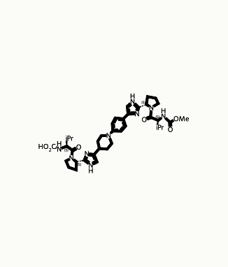 COC(=O)N[C@H](C(=O)N1CCC[C@H]1c1nc(-c2ccc(N3CCC(c4c[nH]c([C@@H]5CCCN5C(=O)[C@@H](NC(=O)O)C(C)C)n4)CC3)cc2)c[nH]1)C(C)C